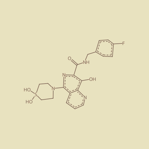 O=C(NCc1ccc(F)cc1)c1nc(N2CCS(O)(O)CC2)c2cccnc2c1O